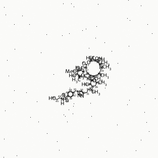 CC[C@H]1OC(=O)[C@H](C)C([C@H]2C[C@@](C)(OC)[C@@H](O)[C@H](C)O2)[C@H](C)[C@@H](O[C@@H]2O[C@H](C)C[C@H](N(C)CCc3cn(Cc4ccc(S(=O)(=O)NCCO)cc4)nn3)[C@H]2O)[C@](C)(O)C[C@@H](C)CN(C)[C@H](C)[C@@H](O)[C@]1(C)O